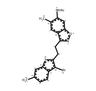 CC(=O)Nc1cc2onc(CCc3sc4cc(C)ccc4c3C(C)C)c2cc1C